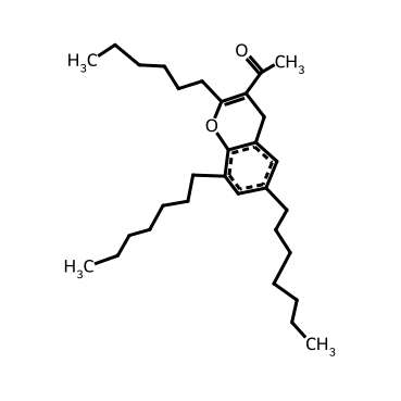 CCCCCCCc1cc(CCCCCCC)c2c(c1)CC(C(C)=O)=C(CCCCCC)O2